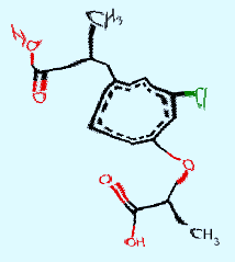 CC(Oc1ccc(C(C)C(=O)O)cc1Cl)C(=O)O